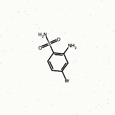 Nc1cc(Br)ccc1S(N)(=O)=O